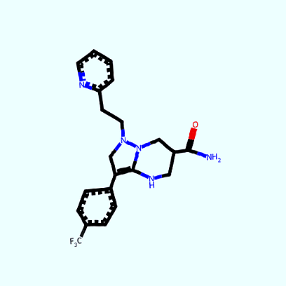 NC(=O)C1CNC2=C(c3ccc(C(F)(F)F)cc3)CN(CCc3ccccn3)N2C1